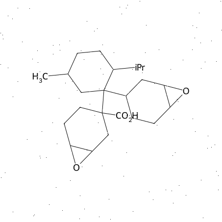 CC1CCC(C(C)C)C(C2CCC3OC3C2)(C2(C(=O)O)CCC3OC3C2)C1